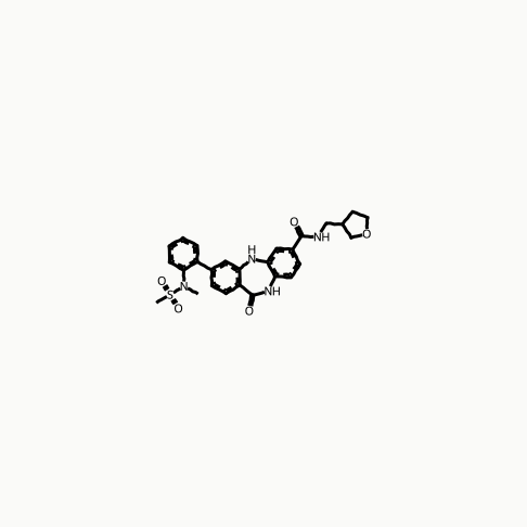 CN(c1ccccc1-c1ccc2c(c1)Nc1cc(C(=O)NCC3CCOC3)ccc1NC2=O)S(C)(=O)=O